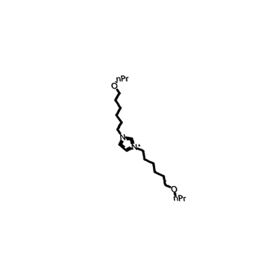 CCCOCCCCCCn1cc[n+](CCCCCCOCCC)c1